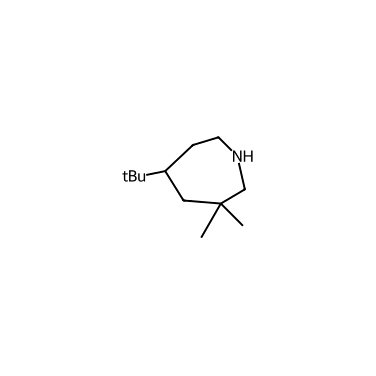 CC1(C)CNCCC(C(C)(C)C)C1